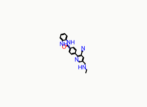 CCNCc1cnc(-c2ccc(C(=O)Nc3ccccc3N)cc2)c(C#N)c1